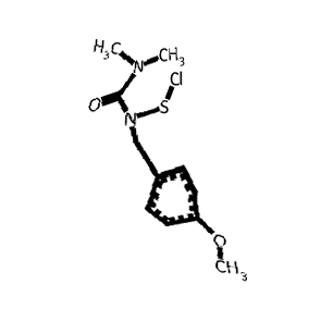 COc1ccc(CN(SCl)C(=O)N(C)C)cc1